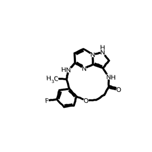 CC1NC2=NC3=C(CNN3C=C2)NC(=O)CCOc2ccc(F)cc21